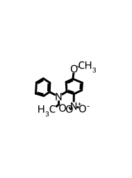 COc1ccc([N+](=O)[O-])c(N(C(C)=O)c2ccccc2)c1